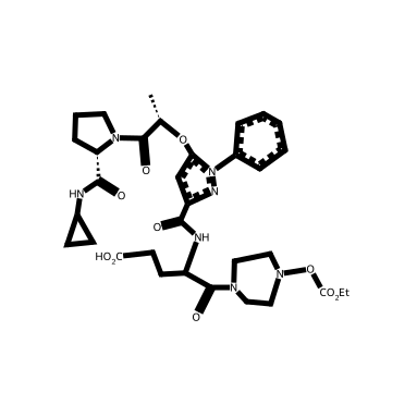 CCOC(=O)ON1CCN(C(=O)C(CCC(=O)O)NC(=O)c2cc(O[C@@H](C)C(=O)N3CCC[C@H]3C(=O)NC3CC3)n(-c3ccccc3)n2)CC1